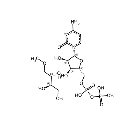 COC[C@H](O)[C@H](O)CO.Nc1ccn([C@@H]2O[C@H](COP(=O)(O)OP(=O)(O)O)[C@@H](O)[C@H]2O)c(=O)n1